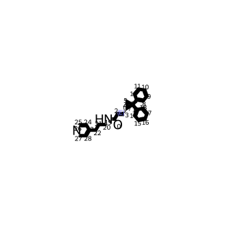 O=C(/C=C/[C@@H]1CC1(c1ccccc1)c1ccccc1)NCCCc1ccncc1